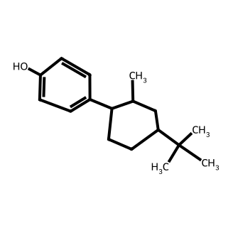 CC1CC(C(C)(C)C)CCC1c1ccc(O)cc1